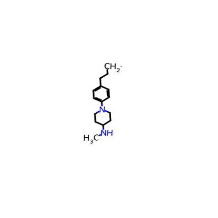 [CH2]CCc1ccc(N2CCC(NC)CC2)cc1